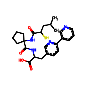 CC(C)CC(S)C(=O)NC1(C(=O)NC(Cc2ccc(-c3cccnc3)nc2)C(=O)O)CCCC1